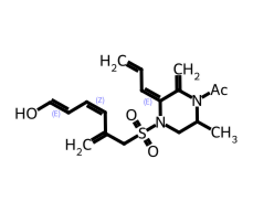 C=C/C=C1\C(=C)N(C(C)=O)C(C)CN1S(=O)(=O)CC(=C)/C=C\C=C\O